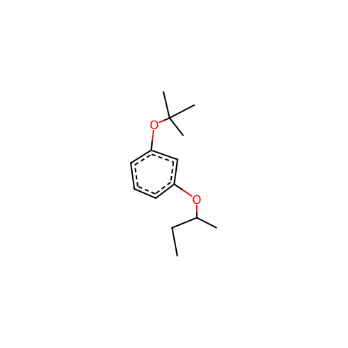 CCC(C)Oc1cccc(OC(C)(C)C)c1